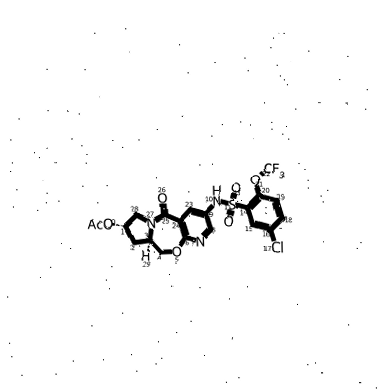 CC(=O)O[C@H]1C[C@@H]2COc3ncc(NS(=O)(=O)c4cc(Cl)ccc4OC(F)(F)F)cc3C(=O)N2C1